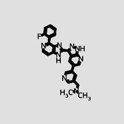 CN(C)Cc1cncc(-c2cnc3[nH]nc(-c4nc5c(-c6ccccc6F)nccc5[nH]4)c3c2)c1